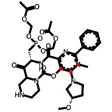 CCCCOC(=O)N1CCNCC1C(=O)[C@H](CP(=O)(OCOC(C)=O)OCOC(C)=O)NC(=O)c1cc(N2CC[C@H](OC)C2)nc(-c2ccccc2)n1